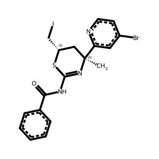 C[C@@]1(c2cc(Br)ccn2)C[C@@H](CI)SC(NC(=O)c2ccccc2)=N1